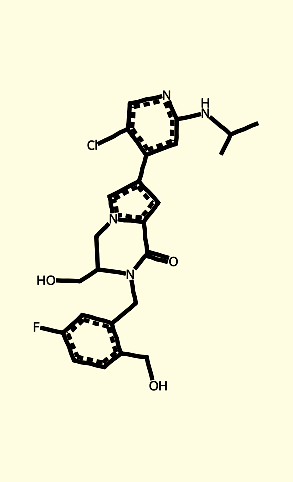 CC(C)Nc1cc(-c2cc3n(c2)CC(CO)N(Cc2cc(F)ccc2CO)C3=O)c(Cl)cn1